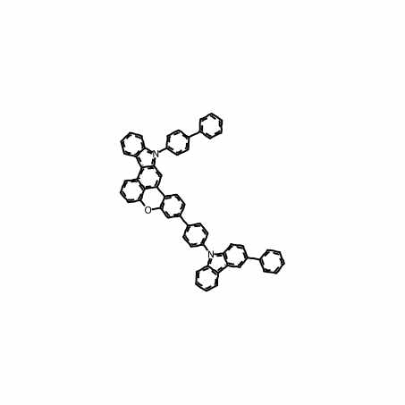 c1ccc(-c2ccc(-n3c4ccccc4c4c5cccc6c5c(cc43)-c3ccc(-c4ccc(-n5c7ccccc7c7cc(-c8ccccc8)ccc75)cc4)cc3O6)cc2)cc1